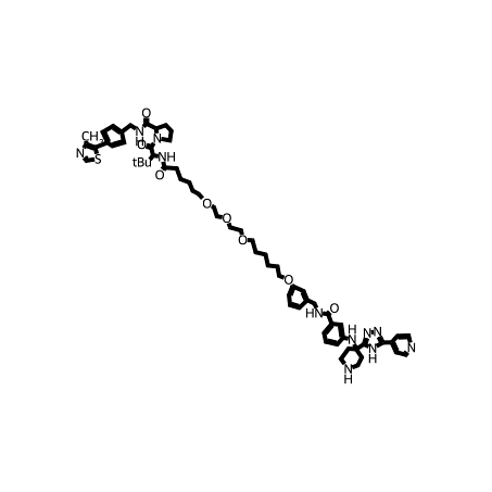 Cc1ncsc1-c1ccc(CNC(=O)C2CCCN2C(=O)C(NC(=O)CCCCCOCCOCCOCCCCCCOc2cccc(CNC(=O)c3cccc(NC4(c5nnc(-c6ccncc6)[nH]5)CCNCC4)c3)c2)C(C)(C)C)cc1